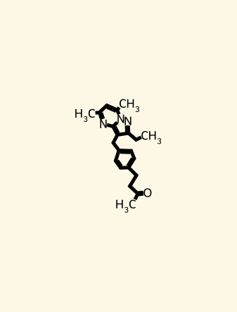 CCc1nn2c(C)cc(C)nc2c1Cc1ccc(CCC(C)=O)cc1